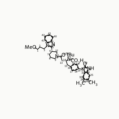 COCCCn1c([C@@H]2CCCN(C(=O)C[C@@H](Cc3ccc(-n4c(=O)[nH]c5cc(C)c(C)cc54)cc3)N(C(=O)O)C(C)(C)C)C2)nc2ccccc21